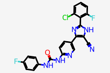 N#Cc1[nH]c(-c2c(F)cccc2Cl)nc1-c1ccc(NC(=O)Nc2ccc(F)cc2)nc1